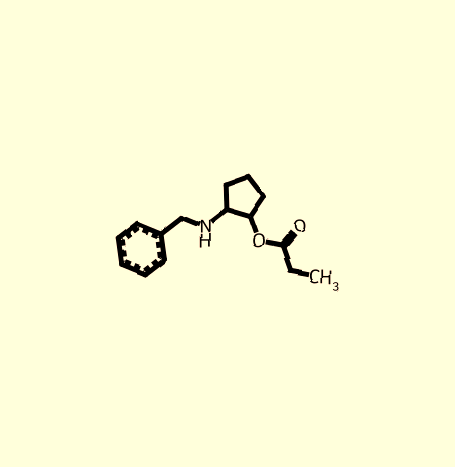 CCC(=O)OC1CCCC1NCc1ccccc1